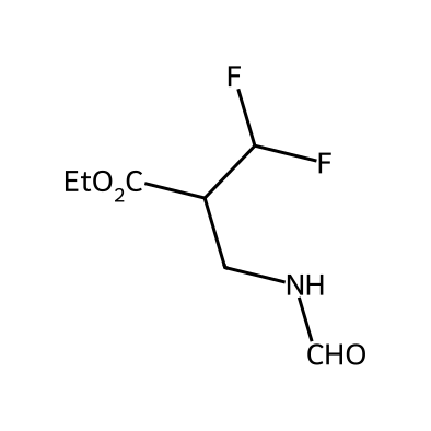 CCOC(=O)C(CNC=O)C(F)F